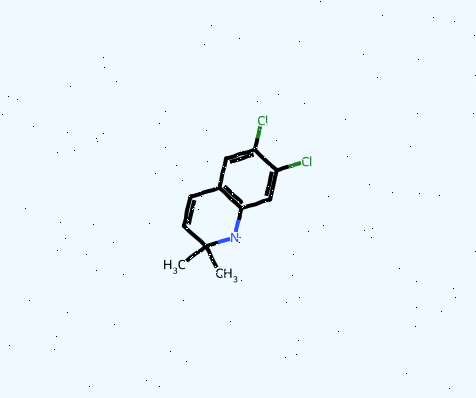 CC1(C)C=Cc2cc(Cl)c(Cl)cc2[N]1